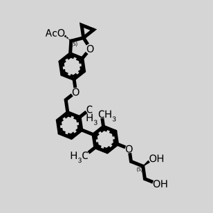 CC(=O)O[C@H]1c2ccc(OCc3cccc(-c4c(C)cc(OC[C@@H](O)CO)cc4C)c3C)cc2OC12CC2